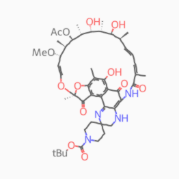 CO[C@H]1/C=C/O[C@@]2(C)Oc3c(C)c(O)c4c(c3C2=O)C2=NC3(CCN(C(=O)OC(C)(C)C)CC3)CNC2=C(NC(=O)/C(C)=C\C=C\[C@H](C)[C@H](O)[C@@H](C)[C@@H](O)[C@@H](C)[C@H](OC(C)=O)[C@@H]1C)C4=O